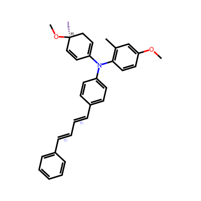 COc1ccc(N(C2=CC[C@](I)(OC)C=C2)c2ccc(/C=C/C=C/c3ccccc3)cc2)c(C)c1